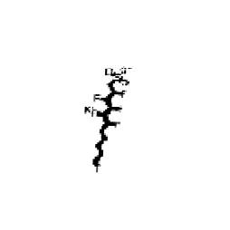 O=S(=O)([O-])CC(F)C(F)C(F)C(F)C(F)CCCCCF.[K+]